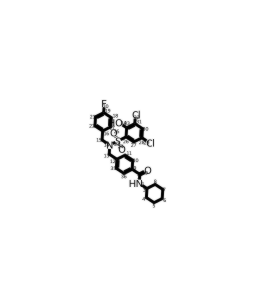 O=C(NC1CCCCC1)c1ccc(CN(Cc2ccc(F)cc2)S(=O)(=O)c2cc(Cl)cc(Cl)c2O)cc1